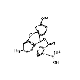 O=C1OC2(c3ccc(O)cc3Oc3cc(O)ccc32)c2cccc(B(O)O)c21